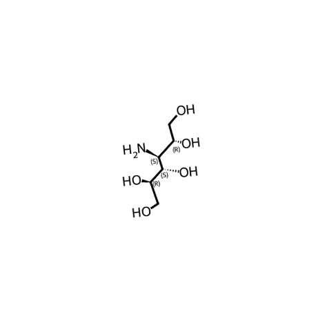 N[C@H]([C@H](O)[C@H](O)CO)[C@@H](O)CO